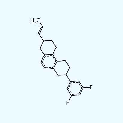 CC=CC1CCc2c(ccc3c2CCC(c2cc(F)cc(F)c2)C3)C1